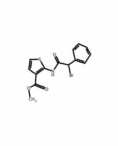 COC(=O)c1ccsc1NC(=O)C(Br)c1ccccc1